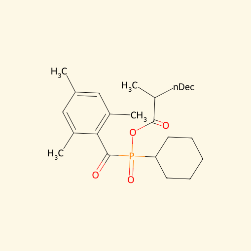 CCCCCCCCCCC(C)C(=O)OP(=O)(C(=O)c1c(C)cc(C)cc1C)C1CCCCC1